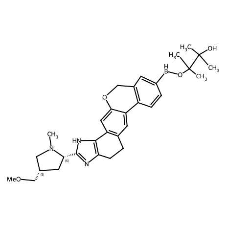 COC[C@H]1C[C@@H](c2nc3c([nH]2)-c2cc4c(cc2CC3)-c2ccc(BOC(C)(C)C(C)(C)O)cc2CO4)N(C)C1